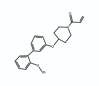 C=CC(=O)N1CCC(Oc2cccc(-c3ccccc3OC(C)C)c2)CC1